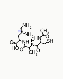 CC(=O)NC(CS)C(=O)NC(C)C(=O)NC(C/C(N)=C/N)C(=O)O